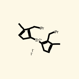 CC1=CC[C]([Zr+2][C]2=C(CC(C)C)C(C)=CC2)=C1CC(C)C.[I-].[I-]